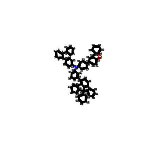 c1ccc(-c2ccccc2-c2ccc(N(c3ccc(-c4ccc5oc6ccccc6c5c4)cc3)c3cccc(-c4cccc5c4-c4ccccc4C5(c4ccccc4)c4ccccc4)c3)cc2)cc1